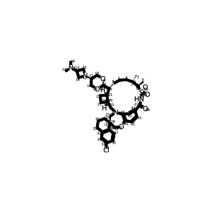 C[C@@H]1[C@@H](C)CCC[C@@H]([C@H]2OC[C@H](N3CC(N(C)C)C3)CO2)[C@@H]2CC[C@H]2CN2C[C@@]3(CCCc4cc(Cl)ccc43)COc3ccc(cc32)C(=O)NS1(=O)=O